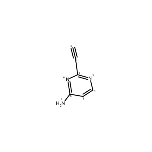 [C]#Cc1nccc(N)n1